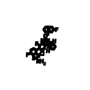 Nc1nc2c(-c3c(Cl)cc4c(N5[C@@H]6CC[C@H]5CC(F)C6)nc(OC[C@@]56CCCN5C[C@H](F)C6)nc4c3F)ccc(F)c2s1